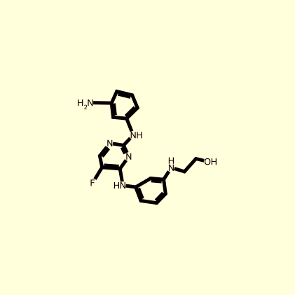 Nc1cccc(Nc2ncc(F)c(Nc3cccc(NCCO)c3)n2)c1